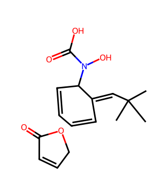 CC(C)(C)C=C1C=CC=CC1N(O)C(=O)O.O=C1C=CCO1